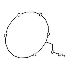 COCC1COCCCCCOCCOCCOCCO1